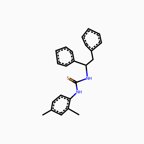 Cc1ccc(NC(=S)NC(Cc2ccccc2)c2ccccc2)c(C)c1